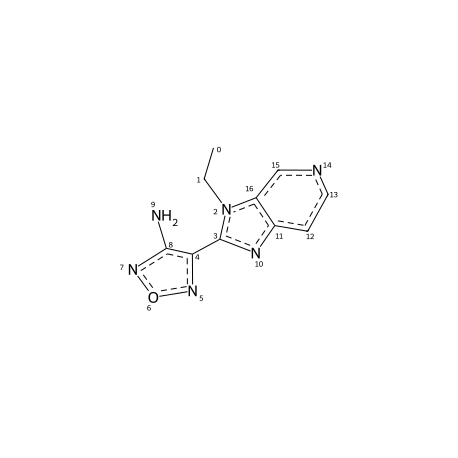 CCn1c(-c2nonc2N)nc2ccncc21